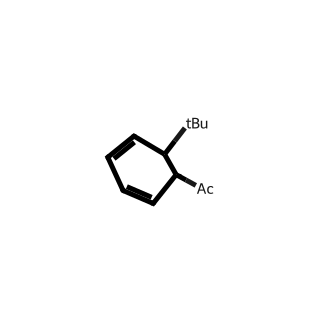 CC(=O)[C]1C=CC=CC1C(C)(C)C